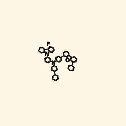 Fc1cccc2c1c1ccccc1n2-c1cccc(N(c2ccc(-c3ccccc3)cc2)c2ccc(-c3cccc4c3oc3c(-c5ccccc5)cccc34)cc2)c1